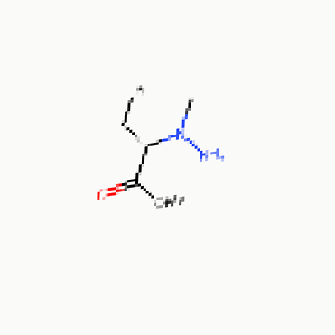 COC(=O)[C@H](CC(C)C)N(C)N